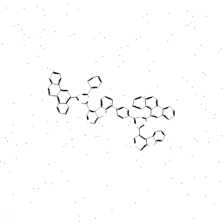 c1ccc(-c2nc(-c3cc4c5ccccc5ccc4c4ccccc34)nc(-c3cncc4oc5c(-c6ccc(-c7nc(-c8cncc9oc%10ccccc%10c89)nc(-c8cc9ccccc9c9ccc%10ccccc%10c89)n7)cc6)cccc5c34)n2)cc1